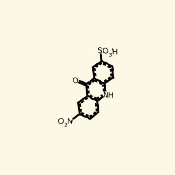 O=c1c2cc([N+](=O)[O-])ccc2[nH]c2ccc(S(=O)(=O)O)cc12